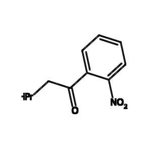 C[C](C)CC(=O)c1ccccc1[N+](=O)[O-]